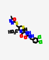 Cc1nnc(SCC2=C(C(=O)O)N3C(=O)C(NC(=O)NCc4ccc(Cl)c(Cl)c4)[C@@H]3SC2)o1